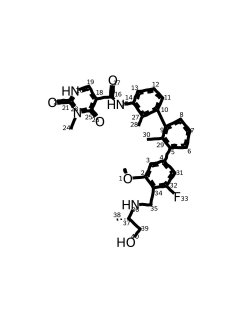 COc1cc(-c2cccc(-c3cccc(NC(=O)c4c[nH]c(=O)n(C)c4=O)c3C)c2C)cc(F)c1CN[C@@H](C)CO